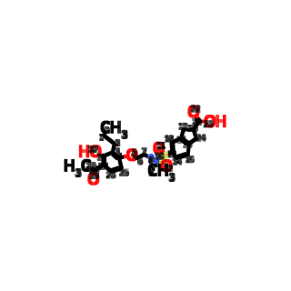 CCCc1c(OCCN(C)S(=O)(=O)c2ccc3c(c2)CC(C(=O)O)C3)ccc(C(C)=O)c1O